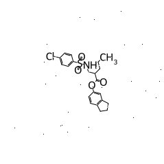 CCCC(CNS(=O)(=O)c1ccc(Cl)cc1)C(=O)Oc1ccc2c(c1)CCC2